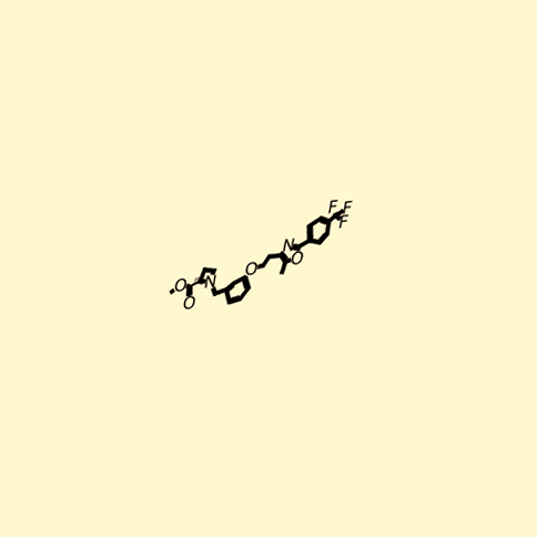 COC(=O)[C@H]1CCN1Cc1cccc(OCCc2nc(-c3ccc(C(F)(F)F)cc3)oc2C)c1